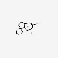 C/C1=C/CC23CCCC(C2C2(CC3)COCO2)[C@H](O)C1